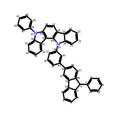 c1ccc(C2c3ccccc3-c3cc(-c4cccc(-n5c6ccccc6c6ccc7c(c8ccccc8n7-c7ccccc7)c65)c4)ccc32)cc1